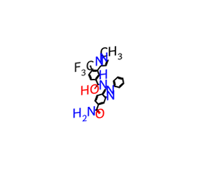 Cn1ccc(-c2cc(C(O)Nc3c4ccc(C(N)=O)cc4nn3-c3ccccc3)ccc2C(F)(F)F)n1